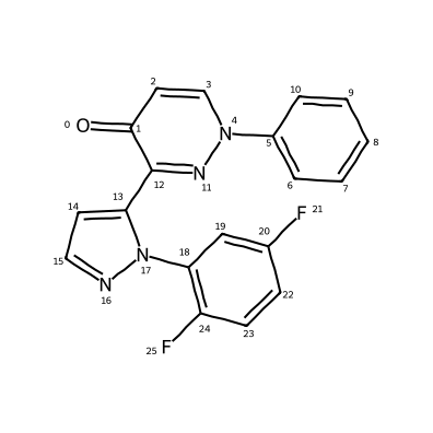 O=c1ccn(-c2ccccc2)nc1-c1ccnn1-c1cc(F)ccc1F